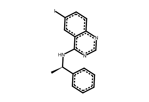 C[C@@H](Nc1ncnc2ccc(I)cc12)c1ccccc1